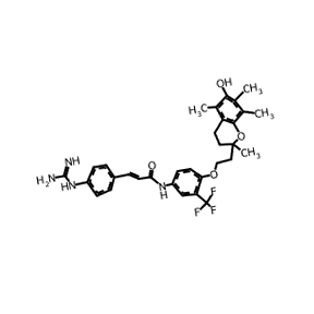 Cc1c(C)c2c(c(C)c1O)CCC(C)(CCOc1ccc(NC(=O)/C=C/c3ccc(NC(=N)N)cc3)cc1C(F)(F)F)O2